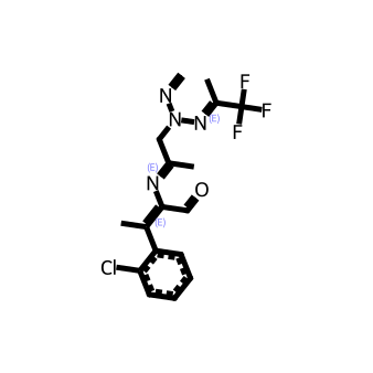 C=NN(C/C(C)=N/C(C=O)=C(\C)c1ccccc1Cl)/N=C(\C)C(F)(F)F